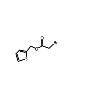 O=C(CBr)OCc1cccs1